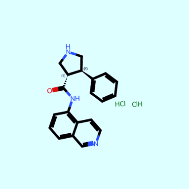 Cl.Cl.O=C(Nc1cccc2cnccc12)[C@@H]1CNC[C@H]1c1ccccc1